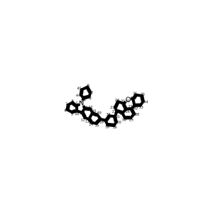 c1ccc(-n2c3ccccc3c3cc4ccc(-c5cccc(-c6ccc7c8c(cccc68)-c6ccccc6O7)c5)cc4cc32)cc1